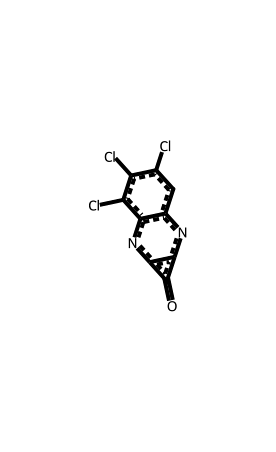 O=c1c2nc3cc(Cl)c(Cl)c(Cl)c3nc12